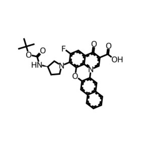 CC(C)(C)OC(=O)N[C@@H]1CCN(c2c(F)cc3c(=O)c(C(=O)O)cn4c3c2Oc2cc3ccccc3cc2-4)C1